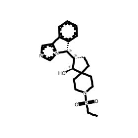 CCS(=O)(=O)N1CCC2(CC[C@@H]([C@H]3c4ccccc4-c4cncn43)[C@@H]2O)CC1